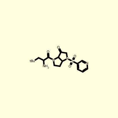 CC(C)(C)CC(N)C(=O)N1CCC2C1C(=O)CN2S(=O)(=O)c1cccnc1